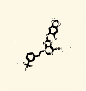 Nc1ncn(CCc2cccc(C(F)(F)F)c2)c2nc(Sc3cc4c(cc3Br)OCO4)nc1-2